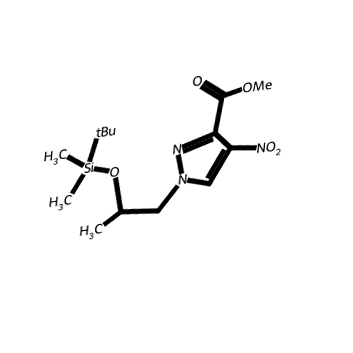 COC(=O)c1nn(CC(C)O[Si](C)(C)C(C)(C)C)cc1[N+](=O)[O-]